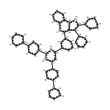 c1ccc(-c2ccc(-c3cc(-c4cccc(-c5nc6ccccc6c6oc(-c7ccccc7)c(-c7ccccc7)c56)c4)nc(-c4ccc(-c5ccccc5)cc4)n3)cc2)cc1